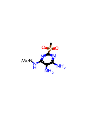 CNNc1nc(S(C)(=O)=O)nc(N)c1N